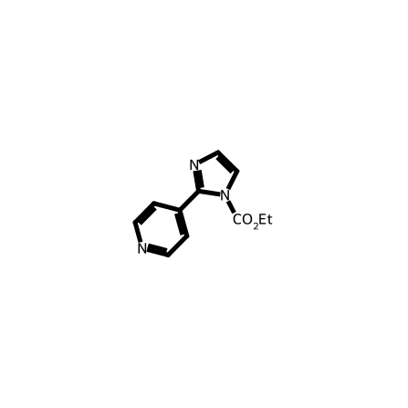 CCOC(=O)n1ccnc1-c1ccncc1